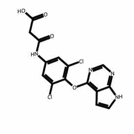 O=C(O)CC(=O)Nc1cc(Cl)c(Oc2ncnc3[nH]ccc23)c(Cl)c1